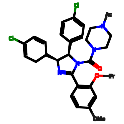 COc1ccc(C2=N[C@@H](C3C=CC(Cl)=CC3)[C@@H](c3ccc(Cl)cc3)N2C(=O)N2CCN(C(C)=O)CC2)c(OC(C)C)c1